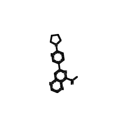 CNc1nc(-c2ccc(N3CCCC3)nc2)cc2nccnc12